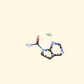 Cl.NC(=O)n1ccc2cncnc21